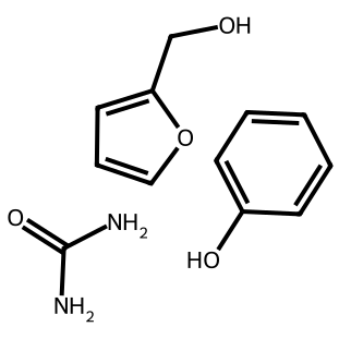 NC(N)=O.OCc1ccco1.Oc1ccccc1